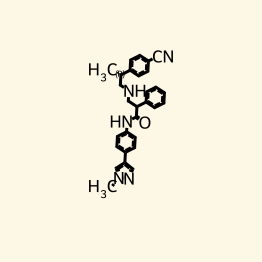 C[C@@H](CNCC(C(=O)Nc1ccc(-c2cnn(C)c2)cc1)c1ccccc1)c1ccc(C#N)cc1